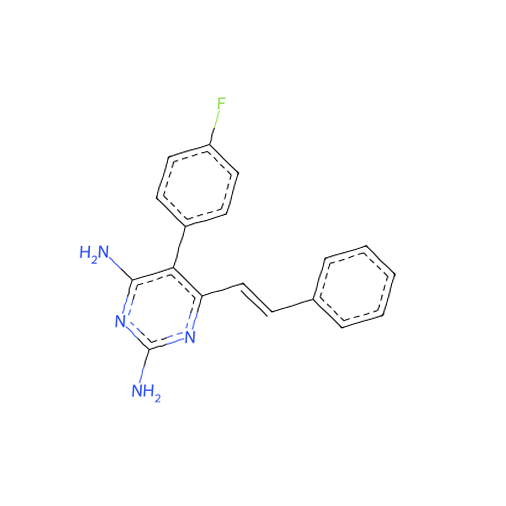 Nc1nc(N)c(-c2ccc(F)cc2)c(C=Cc2ccccc2)n1